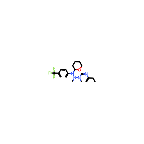 C=C(CC)/N=C\N(C)N(C)N(C(=C)/C=C\C(=C)C(F)(F)F)C1CCCCO1